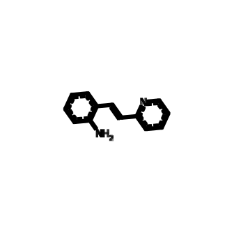 Nc1ccccc1C=Cc1ccccn1